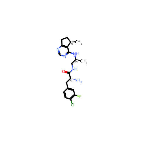 C[C@@H]1CCc2ncnc(N[C@@H](C)CNC(=O)[C@H](N)Cc3ccc(Cl)c(F)c3)c21